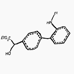 CCNc1ccccc1-c1ccc(C(O)C(=O)OCC)cc1